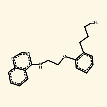 CCCCc1ccccc1OCCNc1ncnc2ccccc12